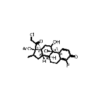 CC(=O)O[C@]1(C(=O)CCl)C(C)C[C@H]2[C@@H]3CCC4=C(F)C(=O)C=C[C@]4(C)[C@@]3(Cl)C(O)C[C@@]21C